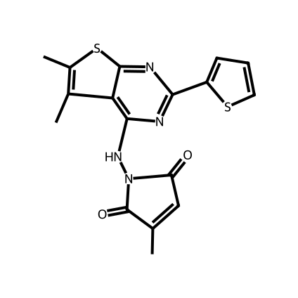 CC1=CC(=O)N(Nc2nc(-c3cccs3)nc3sc(C)c(C)c23)C1=O